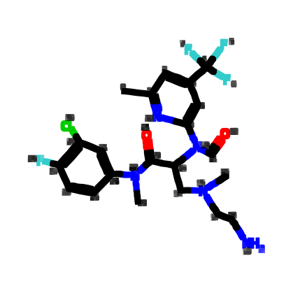 Cc1cc(C(F)(F)F)cc(N(C=O)C(CN(C)CCN)C(=O)N(C)c2ccc(F)c(Cl)c2)n1